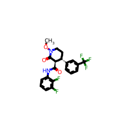 CON1CC[C@H](c2cccc(C(F)(F)F)c2)[C@@H](C(=O)Nc2cccc(F)c2F)C1=O